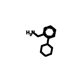 NCc1ccccc1C1CCCCC1